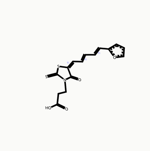 O=C(O)CCN1C(=O)\C(=C/C=C/C=C/c2ccco2)SC1=S